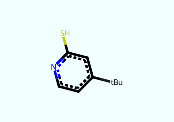 CC(C)(C)c1ccnc(S)c1